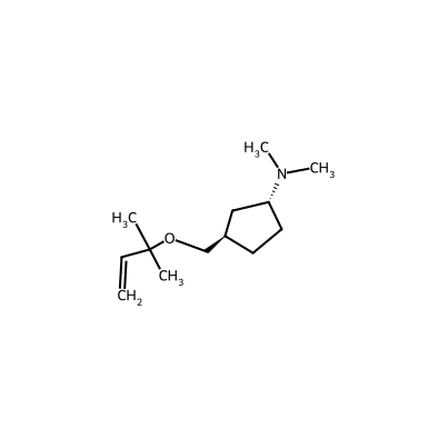 C=CC(C)(C)OC[C@@H]1CC[C@@H](N(C)C)C1